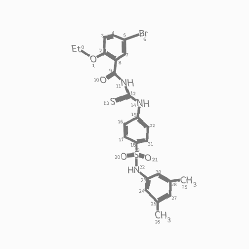 CCOc1ccc(Br)cc1C(=O)NC(=S)Nc1ccc(S(=O)(=O)Nc2cc(C)cc(C)c2)cc1